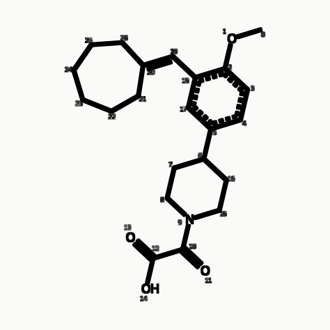 COc1ccc(C2CCN(C(=O)C(=O)O)CC2)cc1C=C1CCCCCC1